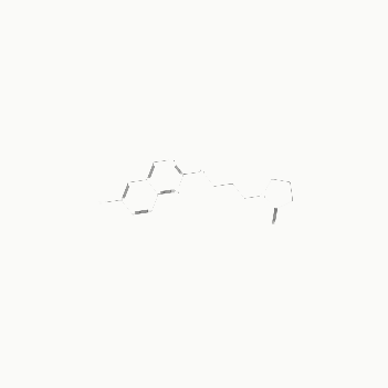 O=C1CCCN1CCCNc1ncc2cc(Br)ccc2n1